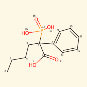 CCCCC(C(=O)O)(c1ccccc1)P(=O)(O)O